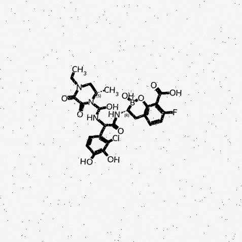 CCN1C[C@H](C)N(C(O)NC(C(=O)N[C@H]2Cc3ccc(F)c(C(=O)O)c3OB2O)c2ccc(O)c(O)c2Cl)C(=O)C1=O